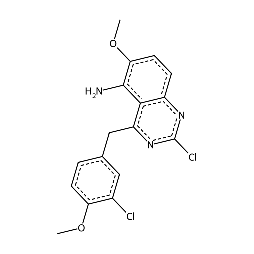 COc1ccc(Cc2nc(Cl)nc3ccc(OC)c(N)c23)cc1Cl